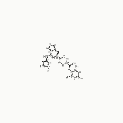 Cc1cc(F)c(CC(=O)N2CCN(c3nc(Nc4cc(C)[nH]n4)c4cccn4n3)CC2)c(F)c1